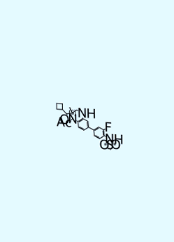 CC(=O)N1c2ccc(-c3ccc(NS(C)(=O)=O)c(F)c3)cc2NC[C@@]1(C)C(=O)C1CCC1